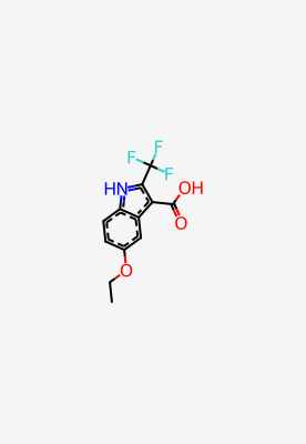 CCOc1ccc2[nH]c(C(F)(F)F)c(C(=O)O)c2c1